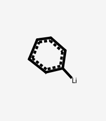 [Li][c]1[c]cccc1